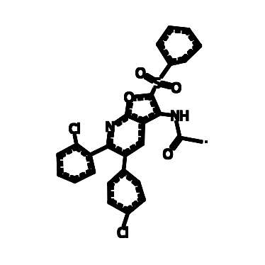 [CH2]C(=O)Nc1c(S(=O)(=O)c2ccccc2)oc2nc(-c3ccccc3Cl)c(-c3ccc(Cl)cc3)cc12